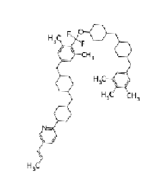 CC=Cc1ccc(C2CCC(CC3CCC(Cc4cc(C)c(C(F)(F)OC5CCC(CC6CCC(Cc7cc(C)c(C)c(C)c7)CC6)CC5)c(C)c4)CC3)CC2)nc1